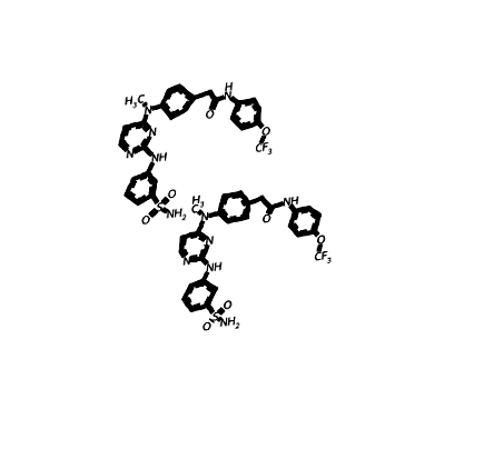 CN(c1ccc(CC(=O)Nc2ccc(OC(F)(F)F)cc2)cc1)c1ccnc(Nc2cccc(S(N)(=O)=O)c2)n1.CN(c1ccc(CC(=O)Nc2ccc(OC(F)(F)F)cc2)cc1)c1ccnc(Nc2cccc(S(N)(=O)=O)c2)n1